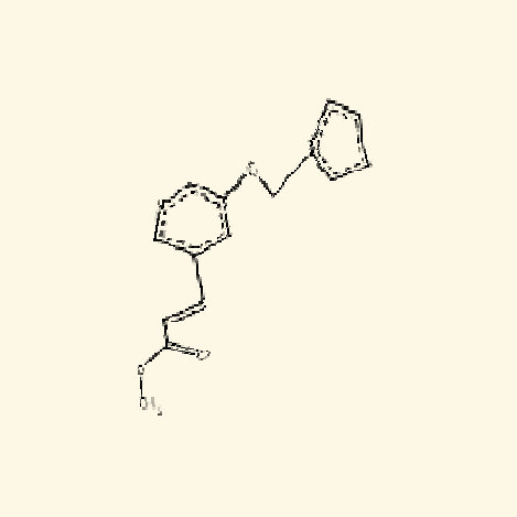 COC(=O)/C=C/c1cncc(OCc2ccccc2)c1